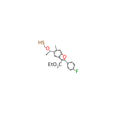 CCOC(=O)c1c(-c2ccc(F)cc2)oc2cc(C)c([C@@H](C)OCS)cc12